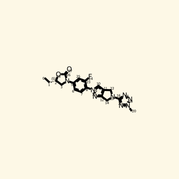 CC[C@H]1CN(c2ccc(-n3cc4c(n3)CN(c3nnn(C)n3)C4)c(F)c2)C(=O)O1